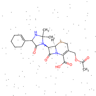 CC(=O)OCC1=C(C(=O)O)N2C(=O)[C@@H](N3C(=O)C(C4=CCCCC4)NC3(C)C)[C@H]2SC1